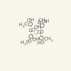 COc1ccc([C@@H]2O[C@H](c3ccc(O)c(C)c3)[C@H](O)[C@]23CCC2=C(C3)[C@@H](c3ccc(O)c(OC)c3)O[C@H]2c2ccc(O)c(C)c2)cc1O